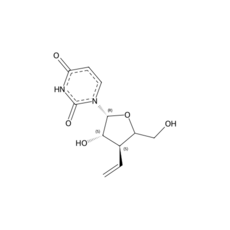 C=C[C@@H]1C(CO)O[C@@H](n2ccc(=O)[nH]c2=O)[C@H]1O